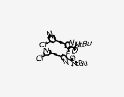 CN(C(=O)c1ncc(C#Cc2cncc(Cl)c2)cc1F)C(C)(C)C.Cc1cc(C#Cc2cncc(Cl)c2)cnc1C(=O)N(C)C(C)(C)C